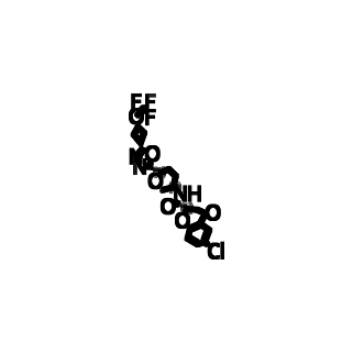 O=C1C[C@@H](C(=O)N[C@@H]2CC[C@@H](c3nnc([C@H]4C[C@@H](OC(F)(F)F)C4)o3)OC2)Oc2ccc(Cl)cc21